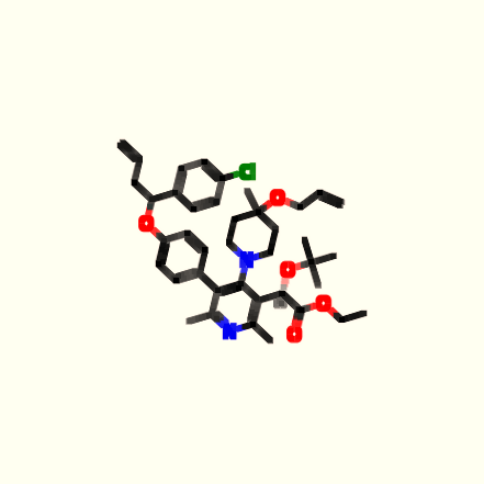 C=CCOC1(C)CCN(c2c(-c3ccc(OC(CC=C)c4ccc(Cl)cc4)cc3)c(C)nc(C)c2[C@H](OC(C)(C)C)C(=O)OCC)CC1